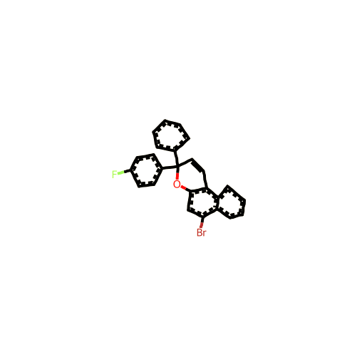 Fc1ccc(C2(c3ccccc3)C=Cc3c(cc(Br)c4ccccc34)O2)cc1